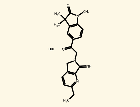 Br.CCc1ccc2c(n1)C(=N)N(CC(=O)c1ccc3c(c1)C(C)(C)C(=O)N3C)C2